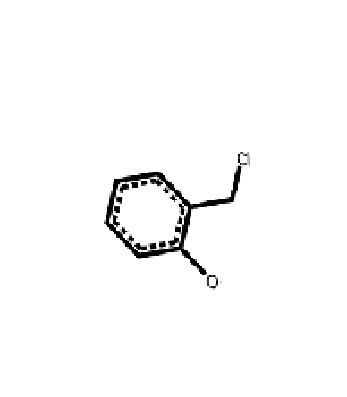 [O]c1ccccc1CCl